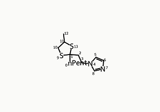 CCCCCC1(CCn2ccnc2)SCC(C)S1